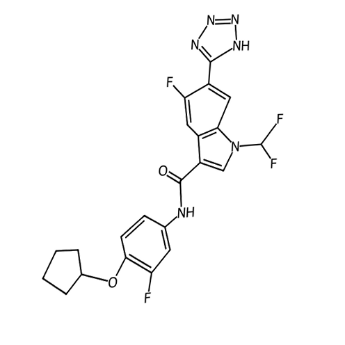 O=C(Nc1ccc(OC2CCCC2)c(F)c1)c1cn(C(F)F)c2cc(-c3nnn[nH]3)c(F)cc12